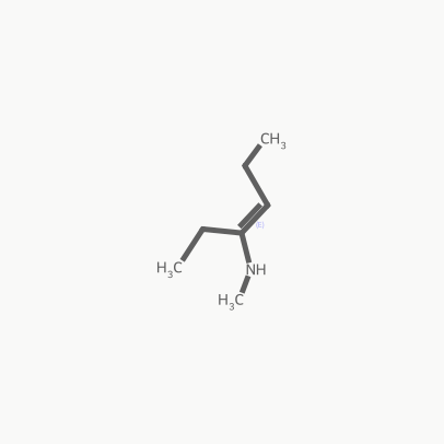 CC/C=C(\CC)NC